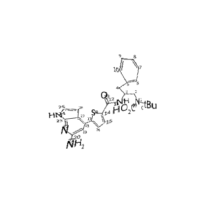 CC(C)(C)N(CC(Cc1ccccc1)NC(=O)c1ccc(-c2cc(N)nc3[nH]ccc23)s1)C(=O)O